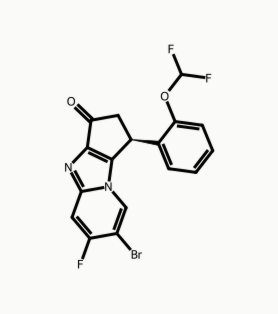 O=C1C[C@@H](c2ccccc2OC(F)F)c2c1nc1cc(F)c(Br)cn21